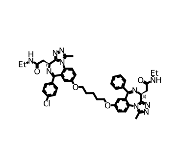 CCNC(=O)C[C@@H]1N=C(c2ccccc2)c2cc(OCCCCCOc3ccc4c(c3)C(c3ccc(Cl)cc3)=N[C@@H](CC(=O)NCC)c3nnc(C)n3-4)ccc2-n2c(C)nnc21